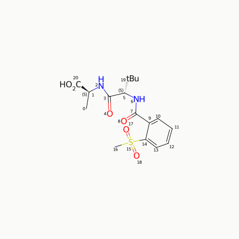 C[C@H](NC(=O)[C@@H](NC(=O)c1ccccc1S(C)(=O)=O)C(C)(C)C)C(=O)O